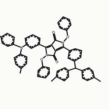 Cc1ccc(C(c2ccc(C)cc2)c2cccc(C3=C4C(=O)N(Oc5ccccc5)C(c5cccc(N(c6ccc(C)cc6)c6ccc(C)cc6)c5)=C4C(=O)N3Oc3ccccc3)c2)cc1